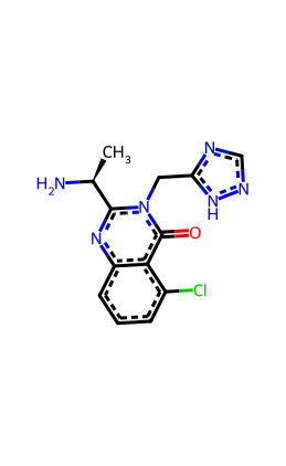 C[C@H](N)c1nc2cccc(Cl)c2c(=O)n1Cc1ncn[nH]1